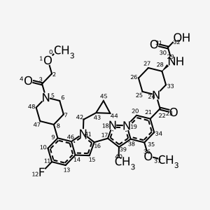 COCC(=O)N1CCC(c2cc(F)cc3cc(-c4nn5cc(C(=O)N6CCC[C@@H](NC(=O)O)C6)cc(OC)c5c4C)n(CC4CC4)c23)CC1